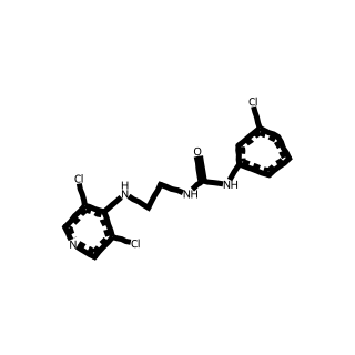 O=C(NCCNc1c(Cl)cncc1Cl)Nc1cccc(Cl)c1